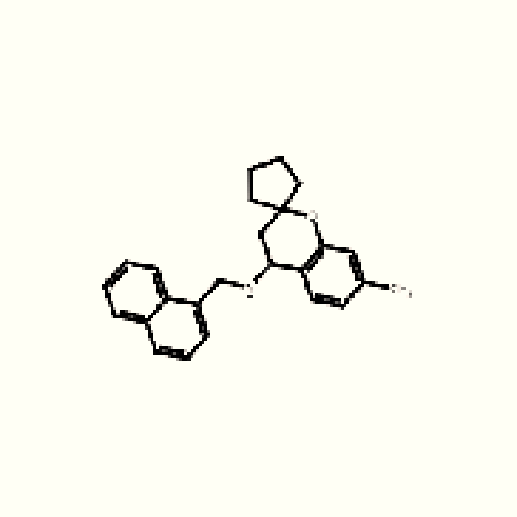 Cc1ccc2c(c1)OC1(CCCC1)C[C@@H]2NCc1cccc2ccccc12